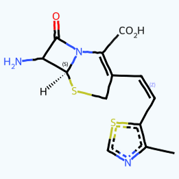 Cc1ncsc1/C=C\C1=C(C(=O)O)N2C(=O)C(N)[C@@H]2SC1